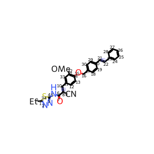 CCc1nnc(NC(=O)/C(C#N)=C/c2ccc(OCc3ccc(/C=C/c4ccccc4)cc3)c(OC)c2)s1